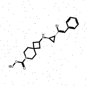 CC/C(=C\c1ccccc1)[C@@H]1C[C@H]1NC1CC2(CCN(C(=O)OC(C)(C)C)CC2)C1